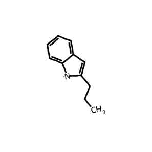 CCCC1=Cc2ccccc2[N]1